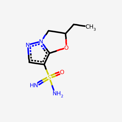 CCC1Cn2ncc(S(=N)(N)=O)c2O1